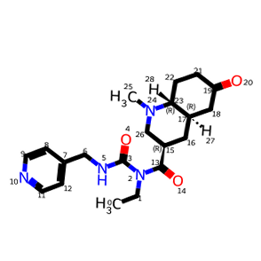 CCN(C(=O)NCc1ccncc1)C(=O)[C@@H]1C[C@@H]2CC(=O)CC[C@H]2N(C)C1